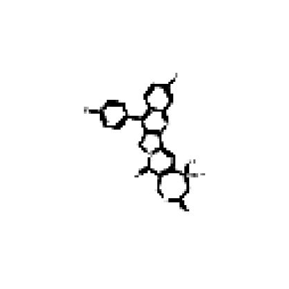 CC[C@@]1(O)CC(=O)OCc2c1cc1n(c2=O)Cc2c-1nc1cc(F)ccc1c2-c1ccc(F)cc1